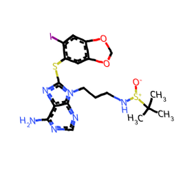 CC(C)(C)[S+]([O-])NCCCn1c(Sc2cc3c(cc2I)OCO3)nc2c(N)ncnc21